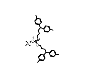 C[N+](C)(C)C.Cc1ccc(C(CCCOB(O)OCCCC(c2ccc(C)cc2)c2ccc(C)cc2)c2ccc(C)cc2)cc1